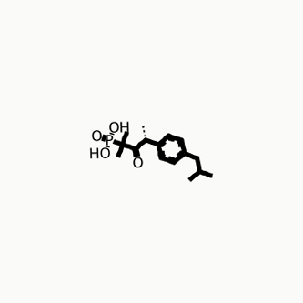 CC(C)Cc1ccc([C@@H](C)C(=O)C(C)(C)P(=O)(O)O)cc1